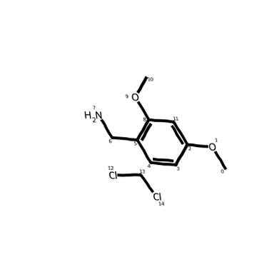 COc1ccc(CN)c(OC)c1.ClCCl